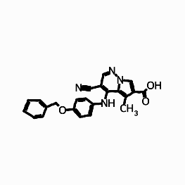 Cc1c(C(=O)O)cn2ncc(C#N)c(Nc3ccc(OCc4ccccc4)cc3)c12